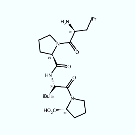 CC[C@H](C)[C@H](NC(=O)[C@H]1CCCN1C(=O)[C@@H](N)CC(C)C)C(=O)N1CCC[C@@H]1C(=O)O